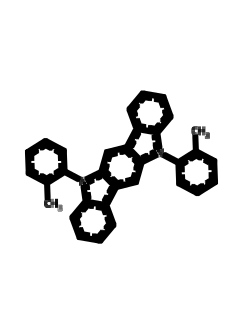 Cc1ccccc1-n1c2ccccc2c2cc3c(cc21)c1ccccc1n3-c1ccccc1C